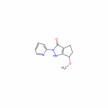 COC1CCc2c1[nH]n(-c1ccccn1)c2=O